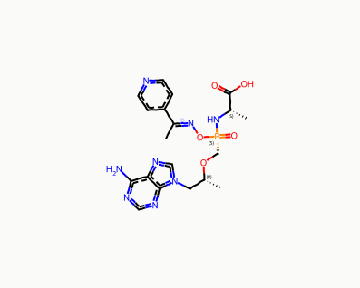 C/C(=N\O[P@@](=O)(CO[C@H](C)Cn1cnc2c(N)ncnc21)N[C@@H](C)C(=O)O)c1ccncc1